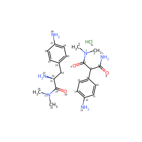 CN(C)C(=O)C(C(N)=O)c1ccc(N)cc1.CN(C)C(=O)[C@@H](N)Cc1ccc(N)cc1.Cl